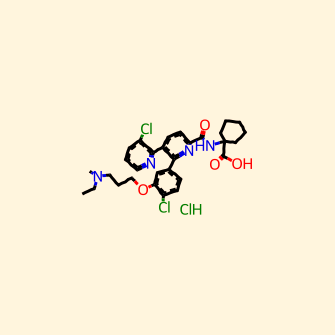 CCN(C)CCCOc1cc(-c2nc(C(=O)NC3(C(=O)O)CCCCC3)ccc2-c2ncccc2Cl)ccc1Cl.Cl